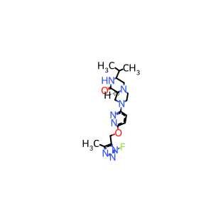 Cc1nnn(F)c1COc1ccc(N2CCN3CC(C(C)C)NC(=O)[C@@H]3C2)nn1